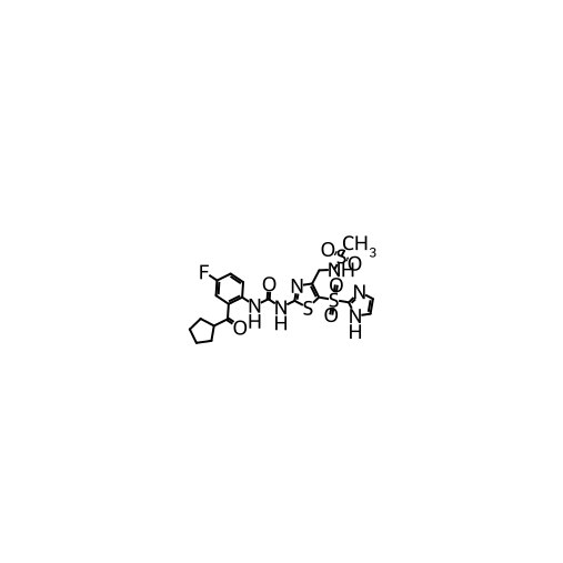 CS(=O)(=O)NCc1nc(NC(=O)Nc2ccc(F)cc2C(=O)C2CCCC2)sc1S(=O)(=O)c1ncc[nH]1